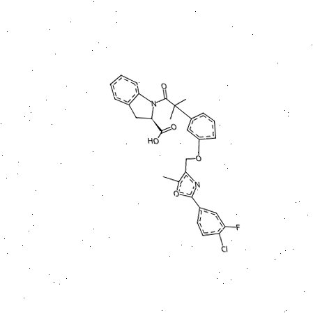 Cc1oc(-c2ccc(Cl)c(F)c2)nc1COc1cccc(C(C)(C)C(=O)N2c3ccccc3C[C@@H]2C(=O)O)c1